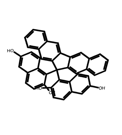 Oc1ccc2c(C3(c4c(O)ccc5cc(O)ccc45)c4cc5ccccc5cc4-c4cc5ccccc5cc43)c(O)ccc2c1